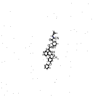 Cc1cc(Oc2ccccc2)ccc1N1C(=O)Nc2c(C(=O)N[C@H]3CCCN(C(=O)/C(C#N)=C/C4CC4)C3)sc3nccc1c23